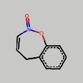 O=[N+]1C=CCc2ccccc2O1